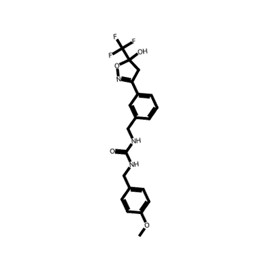 COc1ccc(CNC(=O)NCc2cccc(C3=NOC(O)(C(F)(F)F)C3)c2)cc1